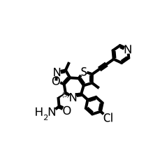 Cc1noc2c1-c1sc(C#Cc3ccncc3)c(C)c1C(c1ccc(Cl)cc1)=N[C@H]2CC(N)=O